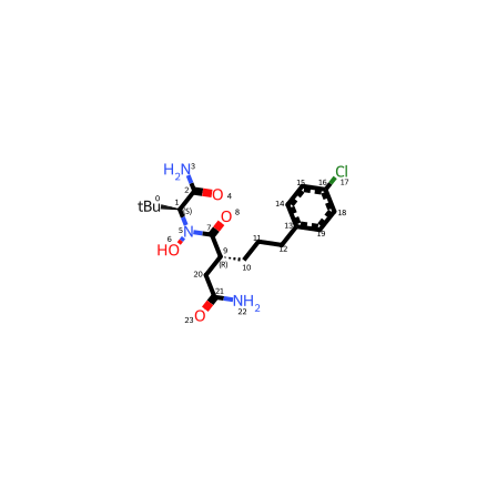 CC(C)(C)[C@@H](C(N)=O)N(O)C(=O)[C@H](CCCc1ccc(Cl)cc1)CC(N)=O